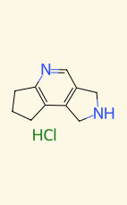 Cl.c1nc2c(c3c1CNC3)CCC2